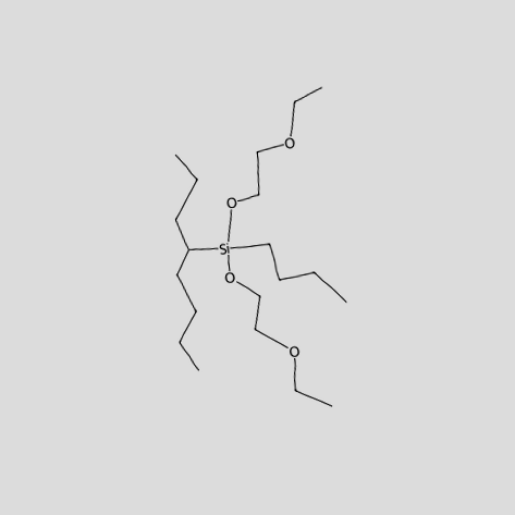 CCCCC(CCC)[Si](CCCC)(OCCOCC)OCCOCC